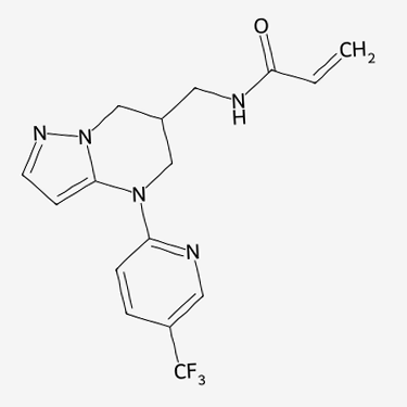 C=CC(=O)NCC1CN(c2ccc(C(F)(F)F)cn2)c2ccnn2C1